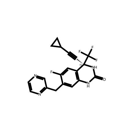 O=C1Nc2cc(Cc3cnccn3)c(F)cc2[C@@](C#CC2CC2)(C(F)(F)F)N1